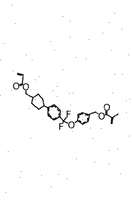 C=CC(=O)OCC1CCC(c2ccc(C(F)(F)Oc3ccc(COC(=O)C(=C)C)cc3)cc2)CC1